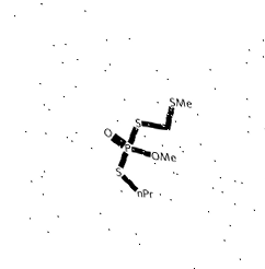 CCCSP(=O)(OC)SCSC